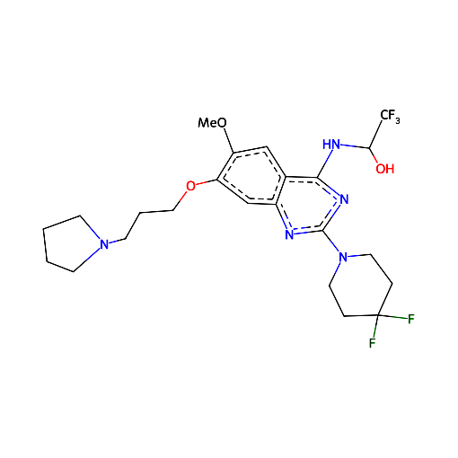 COc1cc2c(NC(O)C(F)(F)F)nc(N3CCC(F)(F)CC3)nc2cc1OCCCN1CCCC1